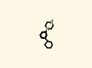 CN1CCN(c2c[c]cc(C3CCCCC3)c2)CC1